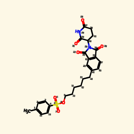 Cc1ccc(S(=O)(=O)OCCCCCCc2ccc3c(c2)C(=O)N(C2CCC(=O)NC2=O)C3=O)cc1